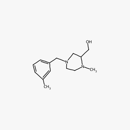 Cc1cccc(CN2CCN(C)C(CO)C2)c1